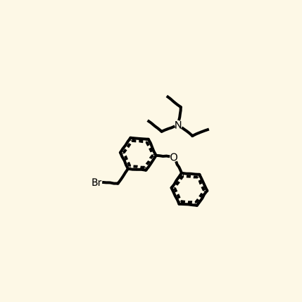 BrCc1cccc(Oc2ccccc2)c1.CCN(CC)CC